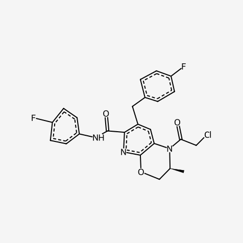 C[C@H]1COc2nc(C(=O)Nc3ccc(F)cc3)c(Cc3ccc(F)cc3)cc2N1C(=O)CCl